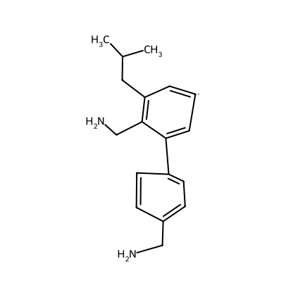 CC(C)Cc1c[c]cc(-c2ccc(CN)cc2)c1CN